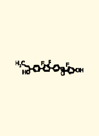 CCCC(O)c1ccc(-c2ccc(-c3ccc(OC(=O)c4ccc(O)cc4F)cc3)c(F)c2F)cc1